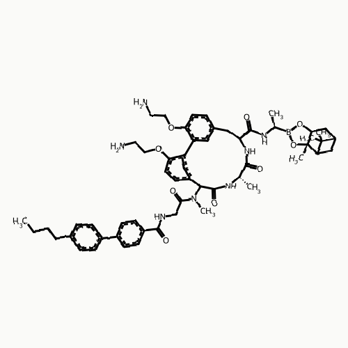 CCCCc1ccc(-c2ccc(C(=O)NCC(=O)N(C)C3C(=O)N[C@@H](C)C(=O)NC(C(=O)N[C@@H](C)B4OC5CC6CC(C6(C)C)[C@]5(C)O4)Cc4ccc(OCCN)c(c4)-c4cc3ccc4OCCN)cc2)cc1